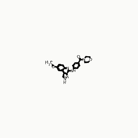 COc1ccc2nc(Nc3ccc(C(=O)N4CCOCC4)cc3)c3n[nH]cc3c2c1